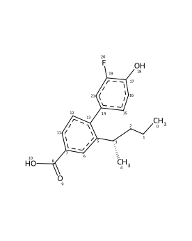 CCC[C@H](C)c1cc(C(=O)O)ccc1-c1ccc(O)c(F)c1